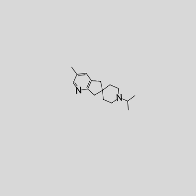 Cc1cnc2c(c1)CC1(CCN(C(C)C)CC1)C2